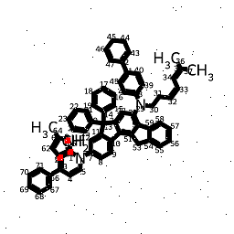 C=C/C=C(\C=C/N(c1ccc2c(c1)C(c1ccccc1)(c1ccccc1)c1cc(N(CC/C=C\C=C(C)C)c3ccc(C4=CCCC=C4)cc3)c3c(c1-2)Cc1ccccc1-3)c1ccc(C)[nH]1)c1ccccc1